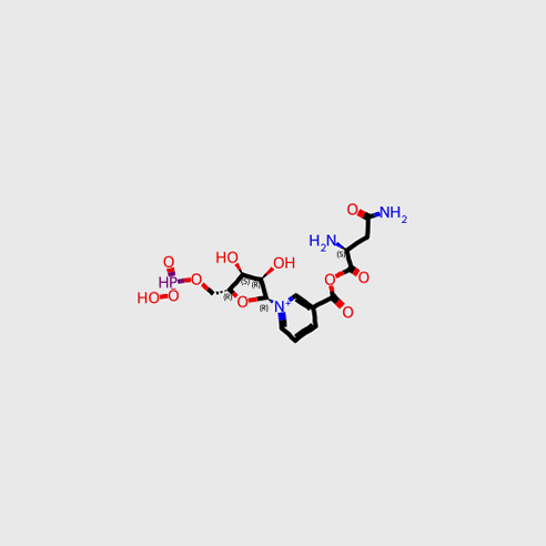 NC(=O)C[C@H](N)C(=O)OC(=O)c1ccc[n+]([C@@H]2O[C@H](CO[PH](=O)OO)[C@@H](O)[C@H]2O)c1